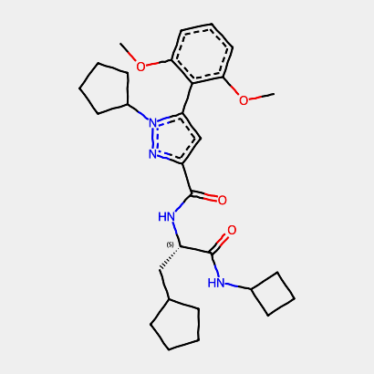 COc1cccc(OC)c1-c1cc(C(=O)N[C@@H](CC2CCCC2)C(=O)NC2CCC2)nn1C1CCCC1